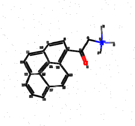 C[N+](C)(C)CC(=O)c1ccc2ccc3cccc4ccc1c2c34